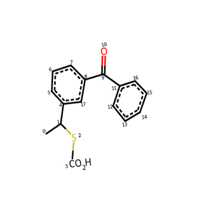 CC(SC(=O)O)c1cccc(C(=O)c2ccccc2)c1